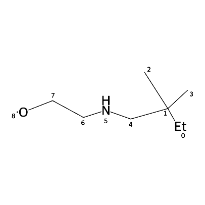 CCC(C)(C)CNCC[O]